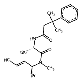 CC(C)[C@@H](/C=C/C#N)N(C)C(=O)[C@@H](NC(=O)CC(C)(C)c1ccccc1)C(C)(C)C